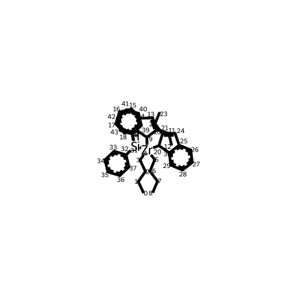 CCC[CH2][Zr]([CH2]CCC)([CH]1C(CC)=Cc2ccccc21)([CH]1C(CC)=Cc2ccccc21)[SiH](c1ccccc1)c1ccccc1